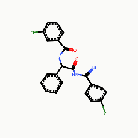 N=C(NC(=O)C(NC(=O)c1cccc(Cl)c1)c1ccccc1)c1ccc(Cl)cc1